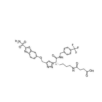 NS(=O)(=O)c1nc2ccc(OCc3cn([C@@H](CCCCNC(=O)CCC(=O)O)C(=O)NCc4ccc(C(F)(F)F)cc4)nn3)cc2s1